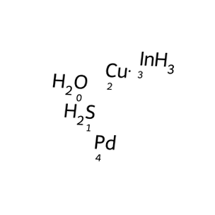 O.S.[Cu].[InH3].[Pd]